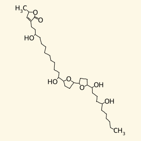 CCCCCCC(O)CCCC(O)C1CCC(C2CCC(C(O)CCCCCCCCCC(O)CCC3=CC(C)OC3=O)O2)O1